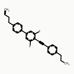 C=CCCc1ccc(-c2cc(F)c(C#Cc3ccc(CCC)cc3)c(F)c2)cc1